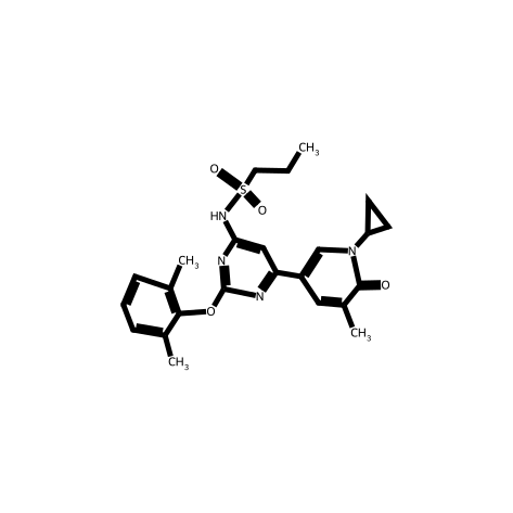 CCCS(=O)(=O)Nc1cc(-c2cc(C)c(=O)n(C3CC3)c2)nc(Oc2c(C)cccc2C)n1